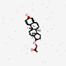 CC(=O)COC1CC[C@H]2[C@@H]3CCC4=CC(=O)C=C[C@]4(C)[C@H]3CC[C@]12C